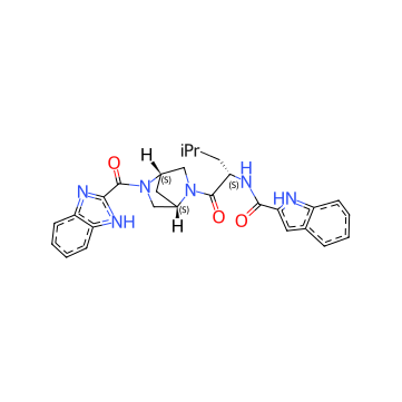 CC(C)C[C@H](NC(=O)c1cc2ccccc2[nH]1)C(=O)N1C[C@@H]2C[C@H]1CN2C(=O)c1nc2ccccc2[nH]1